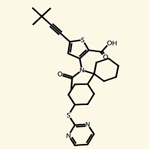 CC(=O)N(c1cc(C#CC(C)(C)C)sc1C(=O)O)C1(C2CCC(Sc3ncccn3)CC2)CCCCC1